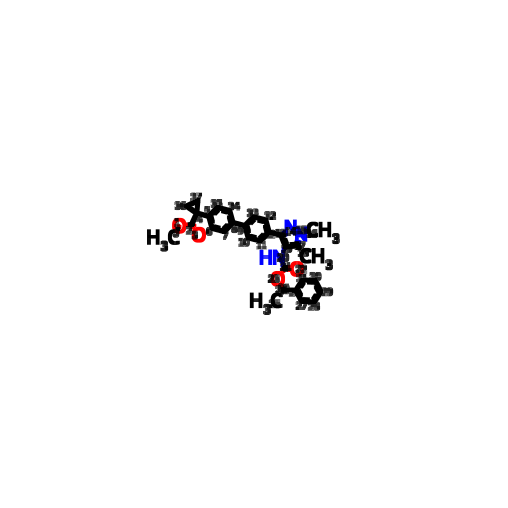 COC(=O)C1(c2ccc(-c3ccc(-c4nn(C)c(C)c4NC(=O)O[C@H](C)c4ccccc4)cc3)cc2)CC1